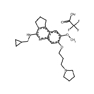 COc1cc2c3c(c(NCC4CC4)nc2cc1OCCCN1CCCC1)CCC3.O=C(O)C(F)(F)F